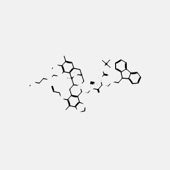 C=CCOc1c(C)c2c(c3c1CC1[C@@H]4c5c(cc(C)c(OC)c5OCOCCOC)C[C@@H]([C@H](C#N)N1[C@H]3CNC(=O)[C@H](CSCC1c3ccccc3-c3ccccc31)NC(=O)OC(C)(C)C)N4C)OCO2